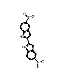 O=[N+]([O-])c1ccc2[nH]c(-c3cc4cc([N+](=O)[O-])ccc4[nH]3)cc2c1